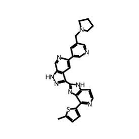 Cc1ccc(-c2nccc3[nH]c(-c4n[nH]c5cnc(-c6cncc(CN7CCCC7)c6)cc45)nc23)s1